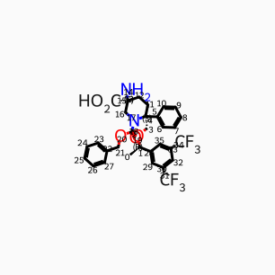 C[C@@H](OC[C@@]1(c2ccccc2)CC[C@@](N)(C(=O)O)CN1C(=O)OCc1ccccc1)c1cc(C(F)(F)F)cc(C(F)(F)F)c1